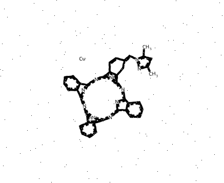 Cc1cc(C)n(C=C2C=Cc3c(c4nc5nc(nc6[nH]c(nc7nc(nc3[nH]4)-c3ccccc3-7)c3ccccc63)-c3ccccc3-5)C2)n1.[Cu]